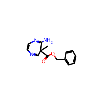 CC1(C(=O)OCc2ccccc2)C=NC=CN=C1N